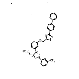 O=C(O)C[C@H]1CN(c2nccc(C(F)(F)F)n2)C[C@H]1C1=CC(OCc2nc(-c3ccc(-c4ccccc4)cc3)no2)CC=C1